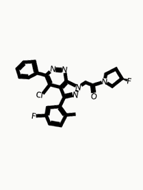 Cc1ccc(F)cc1-c1nn(CC(=O)N2CC[C@@H](F)C2)c2nnc(-c3ccccc3)c(Cl)c12